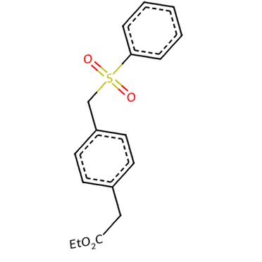 CCOC(=O)Cc1ccc(CS(=O)(=O)c2ccccc2)cc1